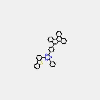 c1ccc(-c2nc(-c3ccc(-c4cc5c6ccccc6c6ccccc6c5c5ccccc45)cc3)nc(-c3cccc4c3sc3ccccc34)n2)cc1